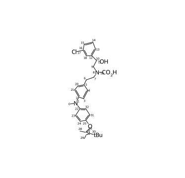 CN(c1ccc(CCN(C[C@@H](O)c2cccc(Cl)c2)C(=O)O)cc1)c1ccc(O[Si](C)(C)C(C)(C)C)cc1